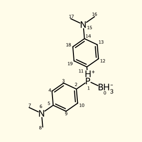 [BH3-][PH+](c1ccc(N(C)C)cc1)c1ccc(N(C)C)cc1